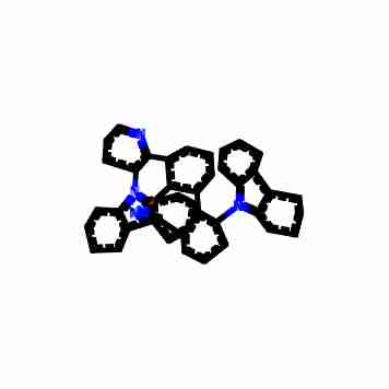 N#Cc1cccc(-n2c3ccccc3c3ccccc32)c1-c1cccc(-c2ncccc2-n2c3ccccc3c3ccccc32)c1C#N